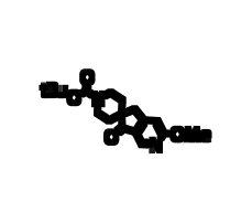 COc1cc2c(cn1)C(=O)C1(CCN(C(=O)OC(C)(C)C)CC1)C2